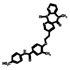 CCN1c2ncc(CCOc3ccc(C(=O)Nc4ccc(C(=O)O)cc4)cc3C)cc2C(=O)N(C)c2cccnc21